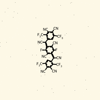 N#C/C(c1cc(C(F)(F)F)c(C#N)c(C#N)c1C(F)(F)F)=c1\c(F)c(C#N)/c(=C(/C#N)c2cc(C(F)(F)F)c(C#N)c(C#N)c2C(F)(F)F)c(F)c1C#N